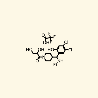 CCNC(c1cc(Cl)c(Cl)cc1O)C1CCN(C(=O)C(O)CO)CC1.O=C(O)C(F)(F)F